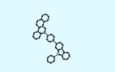 c1ccc(-n2c3ccccc3c3ccc(-c4ccc(-c5cc6c7ccccc7ccc6c6ccccc56)cc4)cc32)cc1